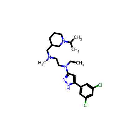 CCN(CCN(C)CC1CCCN(C(C)C)C1)c1cc(-c2cc(Cl)cc(Cl)c2)[nH]n1